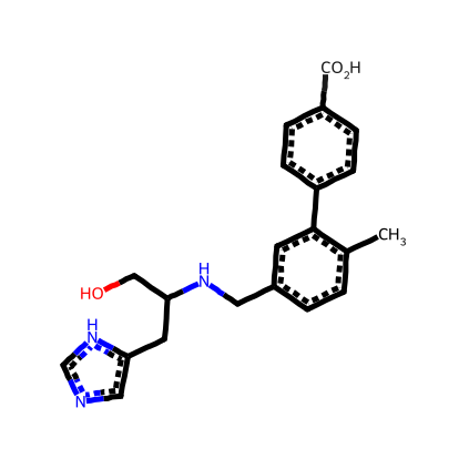 Cc1ccc(CNC(CO)Cc2cnc[nH]2)cc1-c1ccc(C(=O)O)cc1